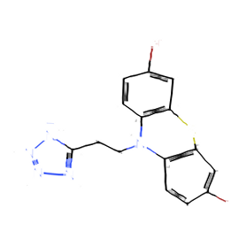 Brc1ccc2c(c1)Sc1cc(Br)ccc1N2CCc1nnn[nH]1